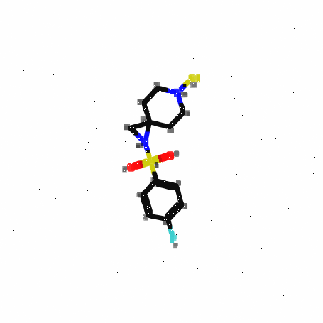 O=S(=O)(c1ccc(F)cc1)N1CC12CCN(S)CC2